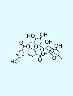 CC12CC3(O)OC(O1)C1(COC(=O)c4ccccc4)C3CC21OC1OC(COC(=O)c2ccc(O)cc2)C(O)C(O)C1O